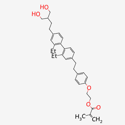 C=C(C)C(=O)OCCOc1ccc(CCc2ccc(-c3ccc(CCC(CO)CO)cc3CC)c(CC)c2)cc1